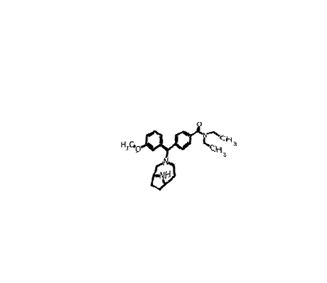 CCN(CC)C(=O)c1ccc(C(c2cccc(OC)c2)N2CCC3CCC(C2)N3)cc1